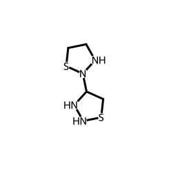 C1CSN(C2CSNN2)N1